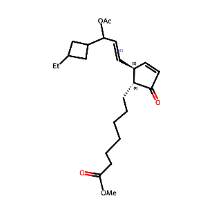 CCC1CC(C(/C=C/[C@H]2C=CC(=O)[C@@H]2CCCCCCC(=O)OC)OC(C)=O)C1